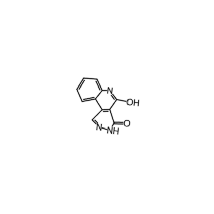 O=c1[nH]ncc2c1c(O)nc1ccccc12